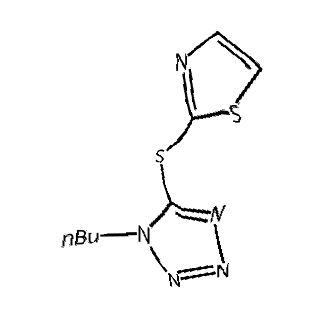 CCCCn1nnnc1Sc1nccs1